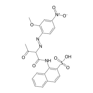 COc1cc([N+](=O)[O-])ccc1N=NC(C(C)=O)C(=O)Nc1c(S(=O)(=O)O)ccc2ccccc12